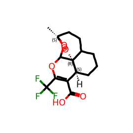 C[C@]12CCC3CCC[C@H]4C(C(=O)O)=C(C(F)(F)F)OC(O1)[C@@]34OO2